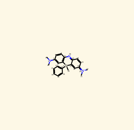 CN(C)c1ccc2c(c1)[Si](C)(c1ccccc1)C1=CC(=[N+](C)C)C=CC1=N2